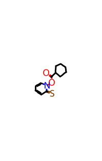 O=C(On1ccccc1=S)C1CCCCC1